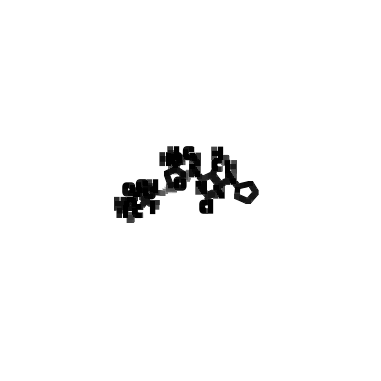 C=NN(c1nc(Cl)nc(NC2CCCC2)c1C)[C@@H]1O[C@H](COC(C)(F)P(=O)(O)O)C[C@H]1O